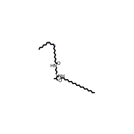 CCCCC/C=C\C/C=C\CCCCCCCC(=O)NCCCC[C@H](NC(=O)CCCCCCCCCCCCCCCCC)C(C)C